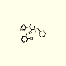 CC(C(OCc1ccccc1Cl)C(C)(C)C=C1CCCCC1)n1cncn1